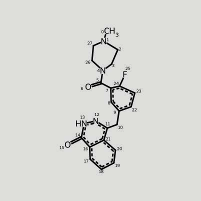 CN1CCN(C(=O)c2cc(Cc3n[nH]c(=O)c4ccccc34)ccc2F)CC1